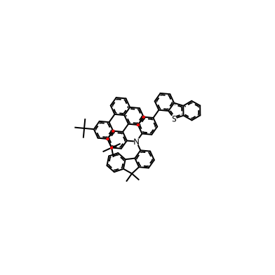 CC(C)(C)c1cc(-c2cccc3cccc(-c4ccccc4N(c4ccc(-c5cccc6c5sc5ccccc56)cc4)c4cccc5c4-c4ccccc4C5(C)C)c23)cc(C(C)(C)C)c1